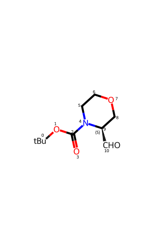 CC(C)(C)OC(=O)N1CCOC[C@H]1C=O